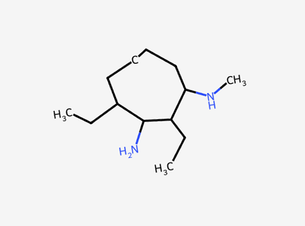 CCC1CCCCC(NC)C(CC)C1N